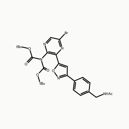 CC(=O)NCc1ccc(-c2cc(-c3nc(Br)cnc3N(C(=O)OC(C)(C)C)C(=O)OC(C)(C)C)on2)cc1